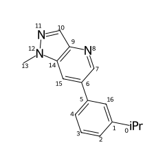 CC(C)c1cccc(-c2cnc3cnn(C)c3c2)c1